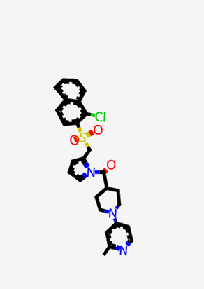 Cc1cc(N2CCC(C(=O)n3cccc3CS(=O)(=O)c3ccc4ccccc4c3Cl)CC2)ccn1